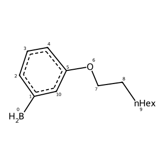 Bc1cccc(OCCCCCCCC)c1